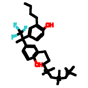 CCCCc1cc(C(C)(c2ccc(O)c(CCC[Si](C)(C)C[Si](C)(C)C[Si](C)(C)C)c2)C(F)(F)F)ccc1O